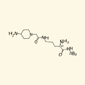 CCCCNC(=O)[C@H](N)CCCNC(=O)CN1CCC(N)CC1